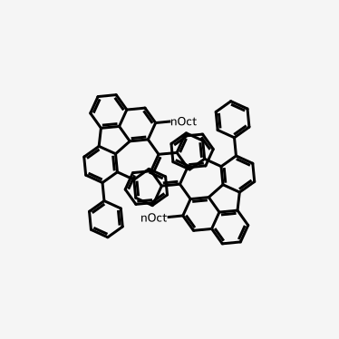 CCCCCCCCc1cc2cccc3c2c(c1-c1c2ccccc2c(-c2c(CCCCCCCC)cc4cccc5c4c2-c2c-5ccc(-c4ccccc4)c2-c2ccccc2)c2ccccc12)-c1c-3ccc(-c2ccccc2)c1-c1ccccc1